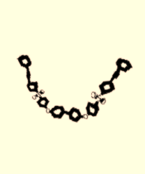 O=S(=O)(c1ccc(C#Cc2ccccc2)cc1)c1ccc(Oc2ccc(-c3ccc(Oc4ccc(S(=O)(=O)c5ccc(C#Cc6ccccc6)cc5)cc4)cc3)cc2)cc1